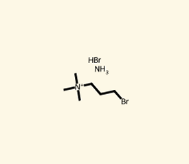 Br.C[N+](C)(C)CCCBr.N